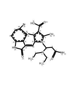 CCN(CC)C(CC(N)=O)n1c(C)c(C(=O)O)c(C)c1C=C1C(=O)Nc2ccc(Br)cc21